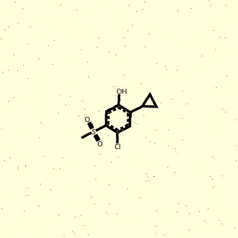 CS(=O)(=O)c1cc(O)c(C2CC2)cc1Cl